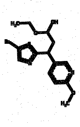 CCOC(O)CC(c1ccc(OC)nc1)c1ncc(Br)s1